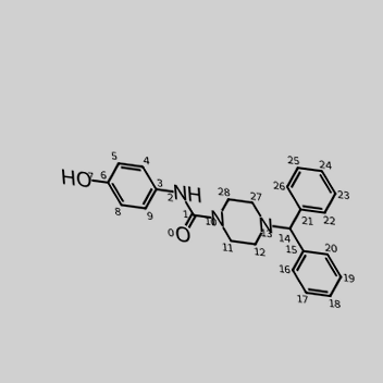 O=C(Nc1ccc(O)cc1)N1CCN(C(c2ccccc2)c2ccccc2)CC1